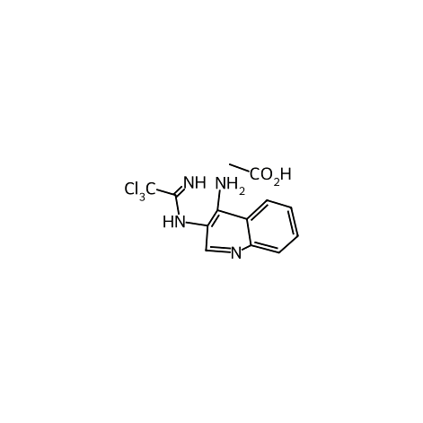 CC(=O)O.N=C(Nc1cnc2ccccc2c1N)C(Cl)(Cl)Cl